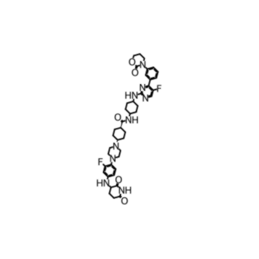 O=C1CCC(Nc2ccc(N3CCN([C@H]4CC[C@H](C(=O)NC5CCC(Nc6ncc(F)c(-c7cccc(N8CCCOC8=O)c7)n6)CC5)CC4)CC3)c(F)c2)C(=O)N1